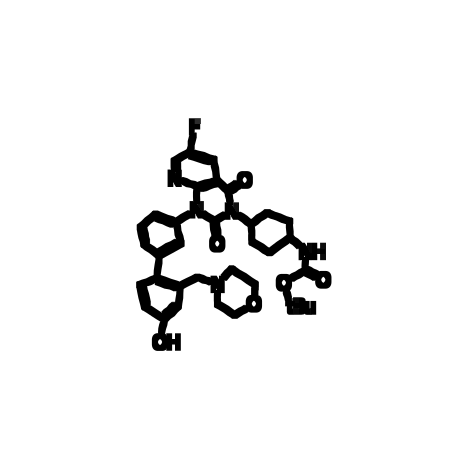 CC(C)(C)OC(=O)NC1CCC(n2c(=O)c3cc(F)cnc3n(-c3cccc(-c4ccc(O)cc4CN4CCOCC4)c3)c2=O)CC1